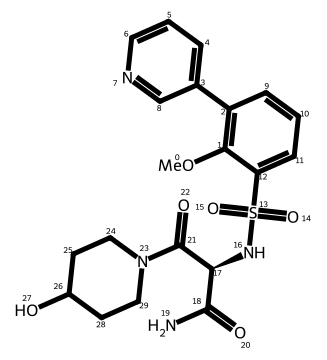 COc1c(-c2cccnc2)cccc1S(=O)(=O)N[C@@H](C(N)=O)C(=O)N1CCC(O)CC1